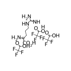 N=C(N)NCCC[C@H](N)C(=O)O.O=C(O)C(F)(F)F.O=C(O)C(F)(F)F.O=C(O)C(F)(F)F